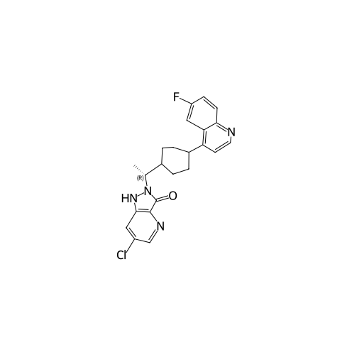 C[C@H](C1CCC(c2ccnc3ccc(F)cc23)CC1)n1[nH]c2cc(Cl)cnc2c1=O